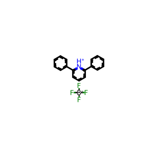 F[B-](F)(F)F.c1ccc(-c2cccc(-c3ccccc3)[nH+]2)cc1